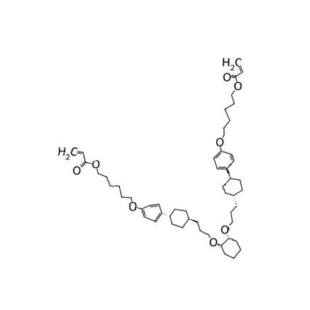 C=CC(=O)OCCCCCCOc1ccc([C@H]2CC[C@H](CCCO[C@@H]3CCCC[C@H]3OCCC[C@H]3CC[C@H](c4ccc(OCCCCCCOC(=O)C=C)cc4)CC3)CC2)cc1